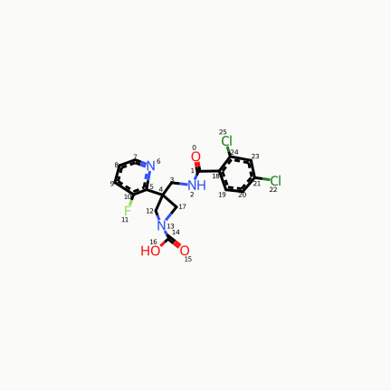 O=C(NCC1(c2ncccc2F)CN(C(=O)O)C1)c1ccc(Cl)cc1Cl